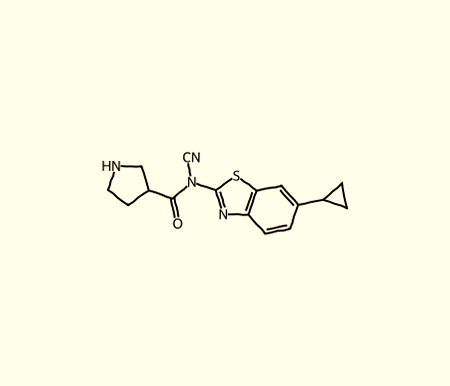 N#CN(C(=O)C1CCNC1)c1nc2ccc(C3CC3)cc2s1